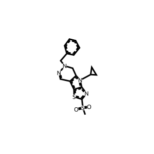 CS(=O)(=O)c1nc2c(s1)c1c(n2C2CC2)CN(Cc2ccccc2)N=C1